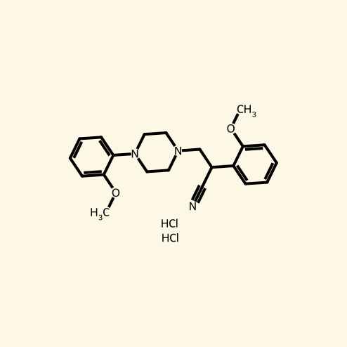 COc1ccccc1C(C#N)CN1CCN(c2ccccc2OC)CC1.Cl.Cl